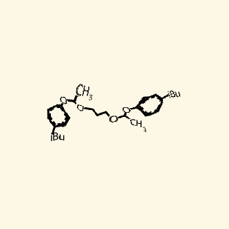 CCC(C)c1ccc(OC(C)OCCCOC(C)Oc2ccc(C(C)CC)cc2)cc1